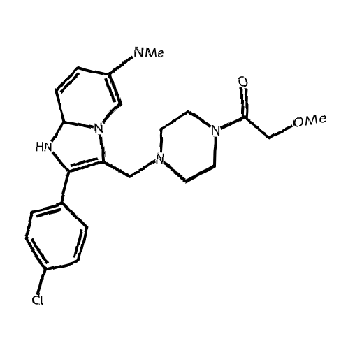 CNC1=CN2C(CN3CCN(C(=O)COC)CC3)=C(c3ccc(Cl)cc3)NC2C=C1